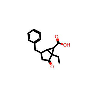 CCC12C(=O)CC(Cc3ccccc3)C1C2C(=O)O